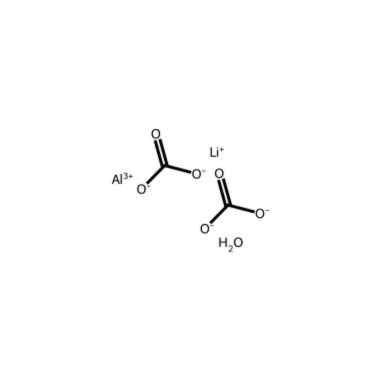 O.O=C([O-])[O-].O=C([O-])[O-].[Al+3].[Li+]